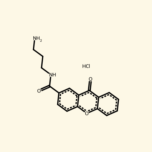 Cl.NCCCNC(=O)c1ccc2oc3ccccc3c(=O)c2c1